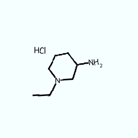 CCN1CCCC(N)C1.Cl